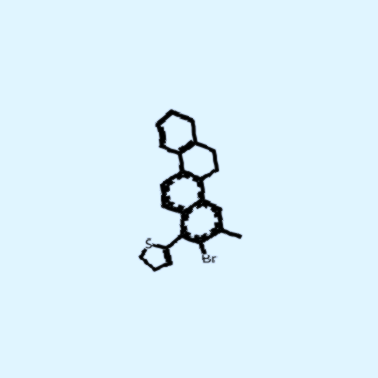 Cc1cc2c3c(ccc2c(C2=CCCS2)c1Br)C1=C(CCC=C1)CC3